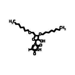 CCCCCCCCOC1C(COCCCCCCC)OC(n2cc(I)c(=O)[nH]c2=O)C1O